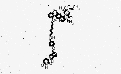 C=CC(=O)N1CC2C(=O)N(C)c3cnc4c(F)c(-c5c(F)cccc5OCCCCCCCNCc5ccc(OCc6scc7c6CN(C6CCC(=O)NC6=O)C7=O)cc5)c(Cl)cc4c3N2C[C@H]1C